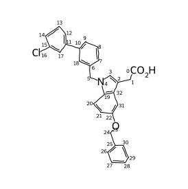 O=C(O)Cc1cn(Cc2cccc(-c3cccc(Cl)c3)c2)c2ccc(OCc3ccccc3)cc12